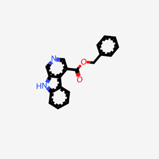 O=C(OCc1ccccc1)c1cncc2[nH]c3ccccc3c12